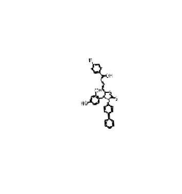 Oc1ccc(C2C(CCCC(O)c3ccc(F)cc3)SC(=S)N2c2ccc(-c3ccccc3)cc2)c(O)c1